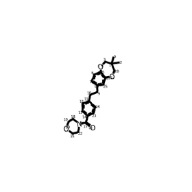 CC1(C)COc2ccc(CCc3ccc(C(=O)N4CCOCC4)cc3)cc2OC1